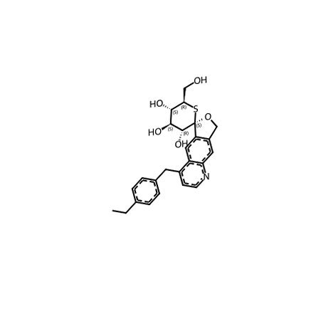 CCc1ccc(Cc2ccnc3cc4c(cc23)[C@]2(OC4)S[C@H](CO)[C@@H](O)[C@H](O)[C@H]2O)cc1